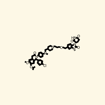 COc1cc2c(cc1OC(C)C)C(c1ccc(Cl)cc1)N(c1ccc(N(C)CC3CCN(CCCCCCc4ccc5c(c4)n(C)c(=O)n5C4CCC(=O)NC4=O)CC3)cc1)C(=O)C2